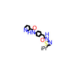 CC(C)c1cnc(NC(=O)Cc2ccc(NC(=O)c3cccnc3)cc2)s1